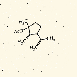 C=C(C)C1CCC(C)(OC(C)=O)C1=C